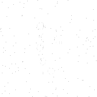 COc1ccc(F)c(-c2ccc(Cc3ccc(N4N=C(c5ncccn5)C(C)C4CC(=O)O)cc3)c(C)c2)c1